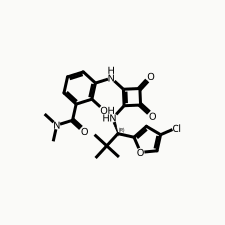 CN(C)C(=O)c1cccc(Nc2c(N[C@@H](c3cc(Cl)co3)C(C)(C)C)c(=O)c2=O)c1O